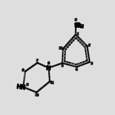 CC(C)(C)c1cccc(N2CCNCC2)c1